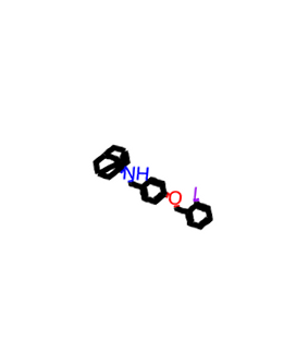 Ic1ccccc1COc1ccc(CNC23CC4CC(CC(C4)C2)C3)cc1